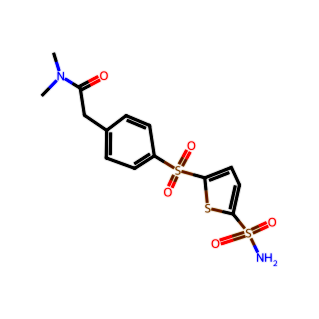 CN(C)C(=O)Cc1ccc(S(=O)(=O)c2ccc(S(N)(=O)=O)s2)cc1